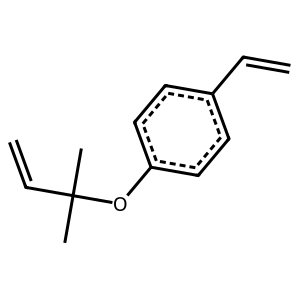 C=Cc1ccc(OC(C)(C)C=C)cc1